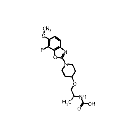 COc1ccc2nc(N3CCC(OC[C@H](C)NC(=O)O)CC3)oc2c1F